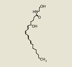 CCCCCCC/C=C/C=C/C=C\C=C\[C@@H](O)CCCC(=O)NCCO